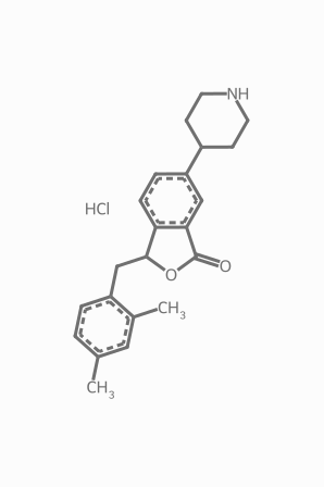 Cc1ccc(CC2OC(=O)c3cc(C4CCNCC4)ccc32)c(C)c1.Cl